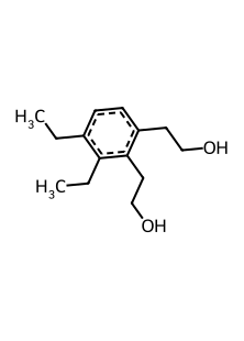 CCc1ccc(CCO)c(CCO)c1CC